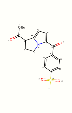 CC(C)COC(=O)C1CCn2c(C(=O)c3ccc(S(C)(=O)=O)cc3)ccc21